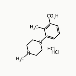 Cc1c(C(=O)O)cccc1N1CCN(C)CC1.Cl.Cl